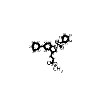 COC(=O)CCC1CN(S(=O)(=O)c2ccccc2)c2ccc(-c3ccccc3)cc21